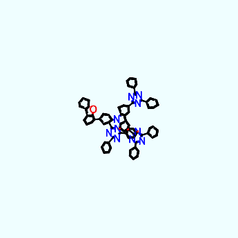 c1ccc(-c2nc(-c3ccccc3)nc(-c3ccc4c(c3)c3cc(-c5nc(-c6ccccc6)nc(-c6ccccc6)n5)ccc3n4-c3ccc(-c4cccc5c4oc4ccccc45)cc3-c3nc(-c4ccccc4)nc(-c4ccccc4)n3)n2)cc1